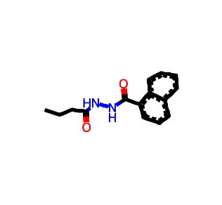 CCCC(=O)NNC(=O)c1cccc2ccccc12